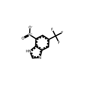 O=[N+]([O-])c1cc(C(F)(F)F)cc2nc[nH]c12